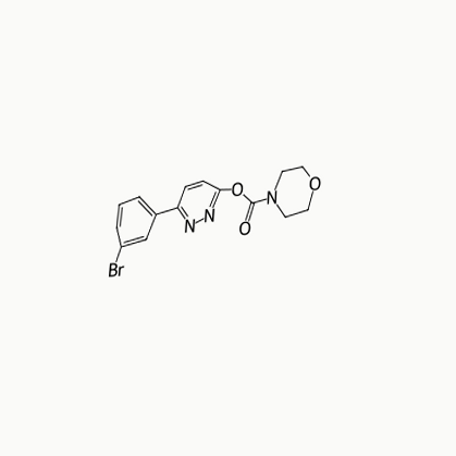 O=C(Oc1ccc(-c2cccc(Br)c2)nn1)N1CCOCC1